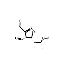 CO[C@H](C)C[C@H]1ON=C(CF)[C@H]1C=O